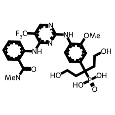 CNC(=O)c1ccccc1Nc1nc(Nc2ccc(C(CCO)(CCO)P(=O)(O)O)cc2OC)ncc1C(F)(F)F